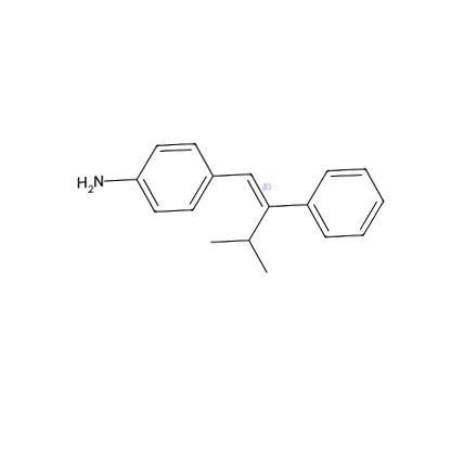 CC(C)/C(=C\c1ccc(N)cc1)c1ccccc1